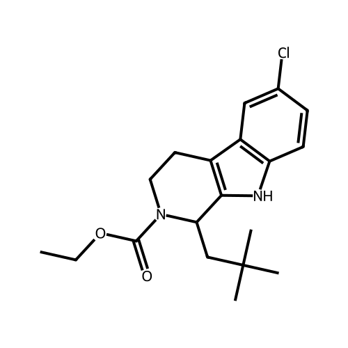 CCOC(=O)N1CCc2c([nH]c3ccc(Cl)cc23)C1CC(C)(C)C